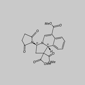 COC(=O)C1=CN2[C@H](N3C(=O)CCC3=O)CC(C(=O)OC)(C(=O)OC)[C@H]2c2ccccc21